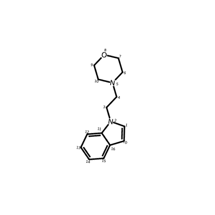 [c]1cn(CCN2CCOCC2)c2ccccc12